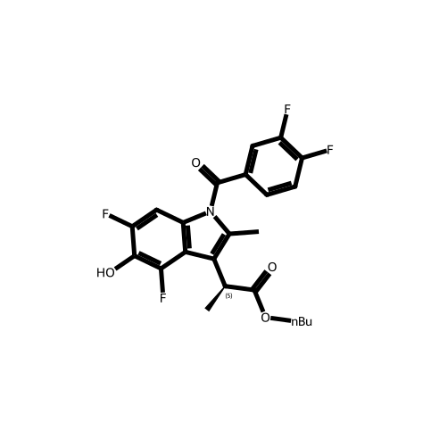 CCCCOC(=O)[C@@H](C)c1c(C)n(C(=O)c2ccc(F)c(F)c2)c2cc(F)c(O)c(F)c12